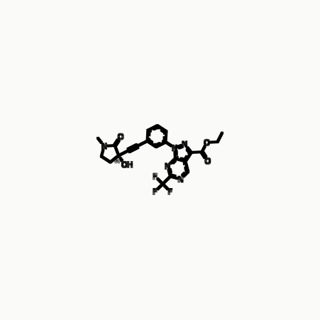 CCOC(=O)c1nn(-c2cccc(C#C[C@]3(O)CCN(C)C3=O)c2)c2nc(C(F)(F)F)ncc12